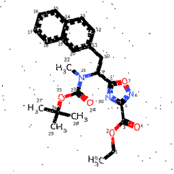 CCOC(=O)c1noc(C(Cc2ccc3ccccc3c2)N(C)C(=O)OC(C)(C)C)n1